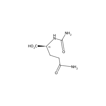 NC(=O)CC[C@H](NC(N)=O)C(=O)O